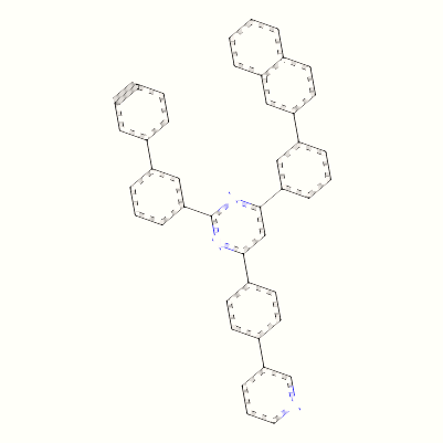 c1ccc(-c2cccc(-c3nc(-c4ccc(-c5cccnc5)cc4)cc(-c4cccc(-c5ccc6ccccc6c5)c4)n3)c2)cc#1